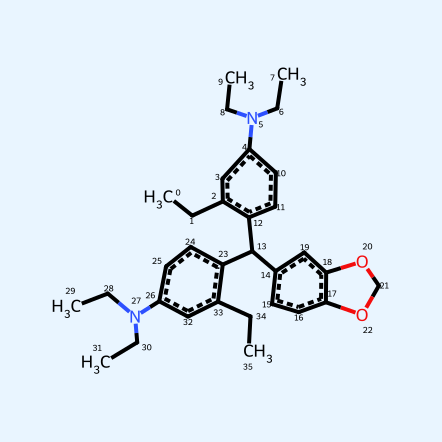 CCc1cc(N(CC)CC)ccc1C(c1ccc2c(c1)OCO2)c1ccc(N(CC)CC)cc1CC